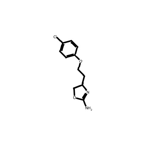 NC1=NC(CCOc2ccc(Cl)cc2)CO1